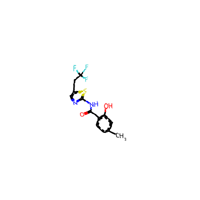 Cc1ccc(C(=O)Nc2ncc(CC(F)(F)F)s2)c(O)c1